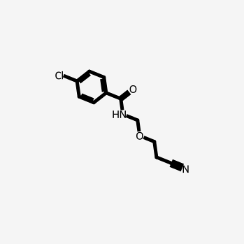 N#CCCOCNC(=O)c1ccc(Cl)cc1